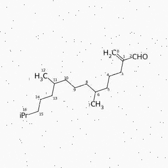 C=C(C=O)CCCC(C)CCCC(C)CCCC(C)C